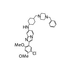 COc1cc(OC)c(-c2cn3ccc(NC4CCC(CN5CCN(Cc6ccccc6)CC5)CC4)cc3n2)cc1Cl